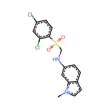 Cn1ccc2ccc(NCS(=O)(=O)c3ccc(Cl)cc3Cl)cc21